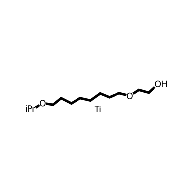 CC(C)OCCCCCCCCOCCO.[Ti]